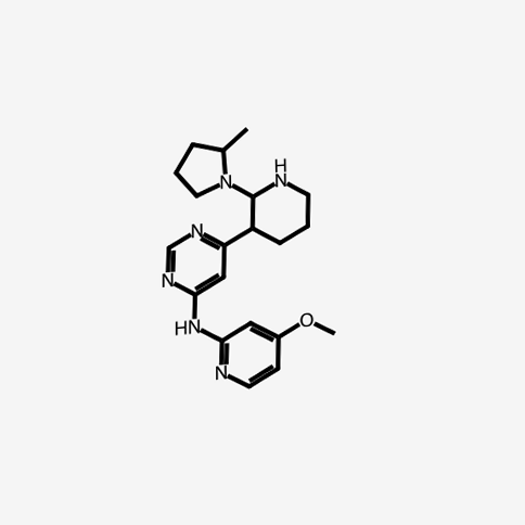 COc1ccnc(Nc2cc(C3CCCNC3N3CCCC3C)ncn2)c1